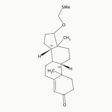 CSCOC1CC[C@H]2C3CCC4=CC(=O)CCC4(C)[C@H]3CCC12C